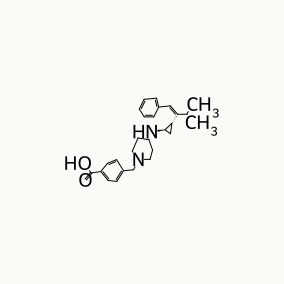 CC(C)C(=Cc1ccccc1)[C@@H]1C[C@H]1NC1CCN(Cc2ccc(C(=O)O)cc2)CC1